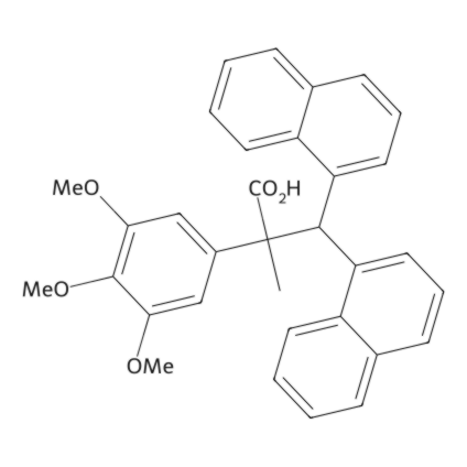 COc1cc(C(C)(C(=O)O)C(c2cccc3ccccc23)c2cccc3ccccc23)cc(OC)c1OC